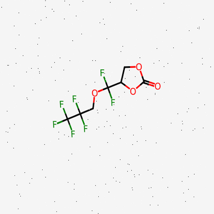 O=C1OCC(C(F)(F)OCC(F)(F)C(F)(F)F)O1